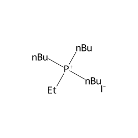 CCCC[P+](CC)(CCCC)CCCC.[I-]